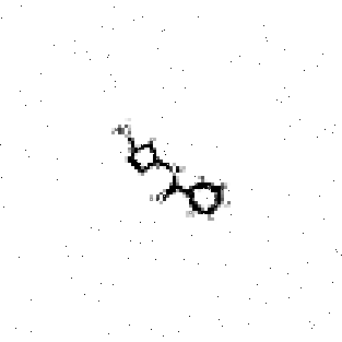 O=C(OC1C=CC(O)C1)c1ccccc1